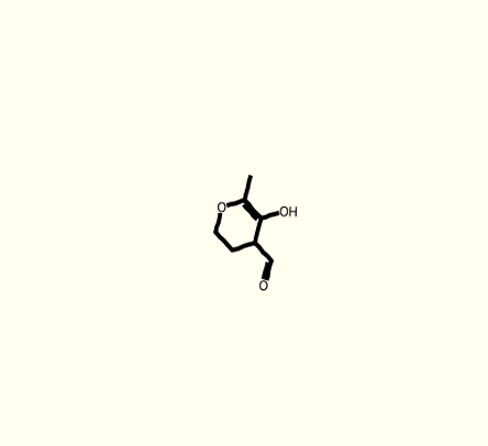 CC1=C(O)C(C=O)CCO1